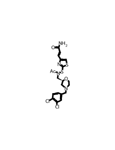 CC(=O)N(C[C@@H]1CN(Cc2ccc(Cl)c(Cl)c2)CCO1)Sc1nc(/C=C/C(N)=O)cs1